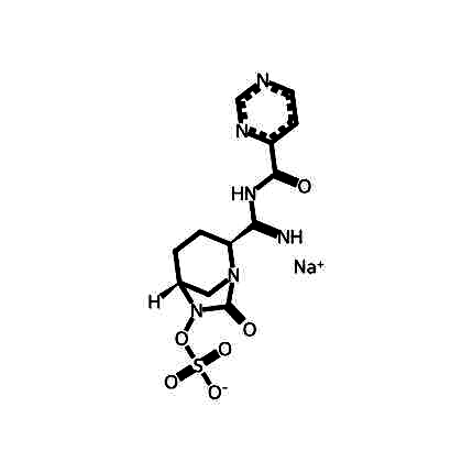 N=C(NC(=O)c1ccncn1)[C@@H]1CC[C@@H]2CN1C(=O)N2OS(=O)(=O)[O-].[Na+]